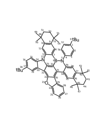 CC(C)(C)c1ccc(N2B3c4cc5c(cc4-n4c6ccc(C(C)(C)C)cc6c6c7oc8ccccc8c7c(c3c64)-c3cc4c(cc32)C(C)(C)CCC4(C)C)C(C)(C)CCC5(C)C)cc1